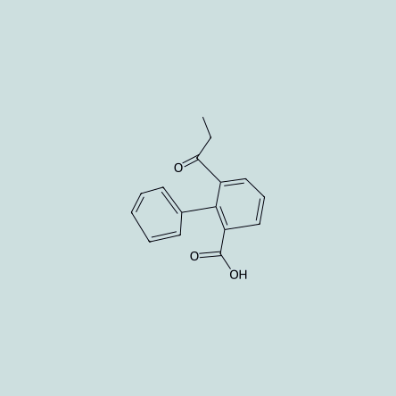 CCC(=O)c1cccc(C(=O)O)c1-c1ccccc1